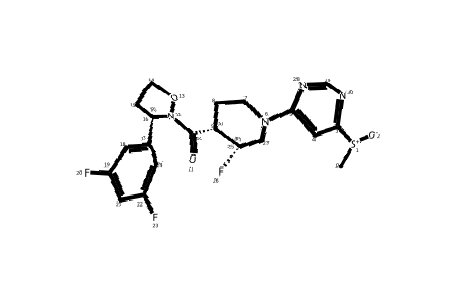 C[S+]([O-])c1cc(N2CC[C@@H](C(=O)N3OCC[C@@H]3c3cc(F)cc(F)c3)[C@@H](F)C2)ncn1